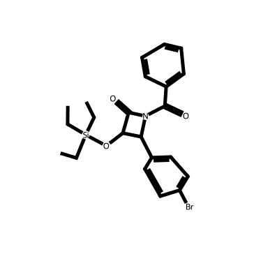 CC[Si](CC)(CC)OC1C(=O)N(C(=O)c2ccccc2)C1c1ccc(Br)cc1